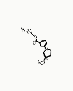 CCOC(=O)c1cccc(N2CC[C@@H](O)C2)c1